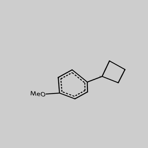 COc1ccc([C]2CCC2)cc1